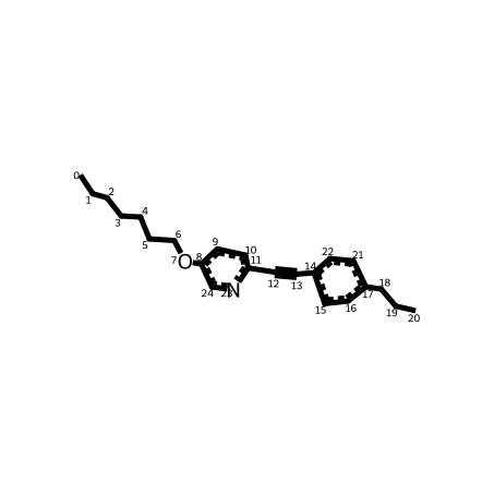 CCCCCCCOc1ccc(C#Cc2ccc(CCC)cc2)nc1